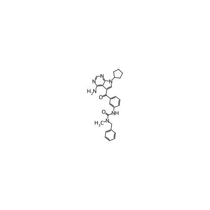 CN(Cc1ccccc1)C(=O)Nc1cccc(C(=O)c2cn(C3CCCC3)c3ncnc(N)c23)c1